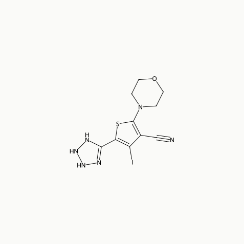 N#Cc1c(N2CCOCC2)sc(C2=NNNN2)c1I